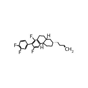 C=CCC[C@@H]1CC[C@@H]2c3cc(F)c(-c4ccc(F)c(F)c4)c(F)c3CC[C@@H]2C1